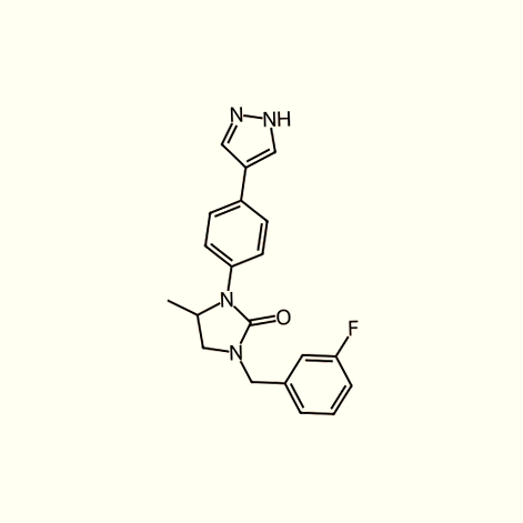 CC1CN(Cc2cccc(F)c2)C(=O)N1c1ccc(-c2cn[nH]c2)cc1